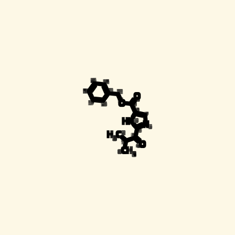 CC(C)C(=O)c1ncc(C(=O)OCc2ccccc2)[nH]1